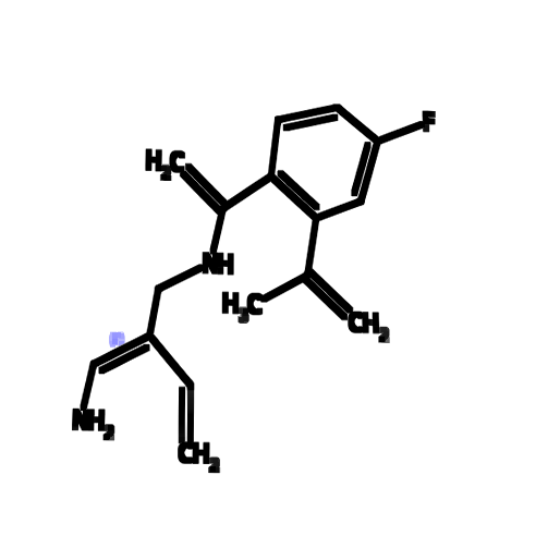 C=C/C(=C\N)CNC(=C)c1ccc(F)cc1C(=C)C